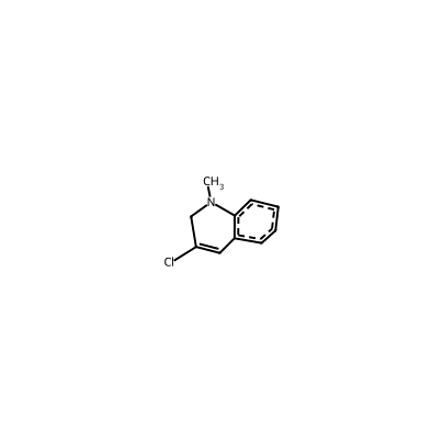 CN1CC(Cl)=Cc2ccccc21